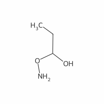 CCC(O)ON